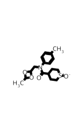 Cc1ccc(N(CC2OC(C)O2)C(=O)C2CC[S+]([O-])CC2)cc1